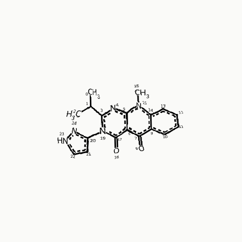 CC(C)c1nc2c(c(=O)c3ccccc3n2C)c(=O)n1-c1cc[nH]n1